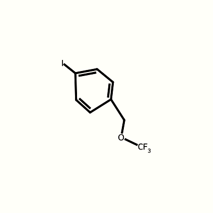 FC(F)(F)OCc1ccc(I)cc1